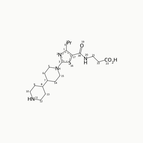 CC(C)c1nc(N2CCC(C3CCNCC3)CC2)sc1C(=O)NCCC(=O)O